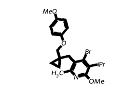 COc1ccc(OCC2(Cc3c(C)nc(OC)c(C(C)C)c3Br)CC2)cc1